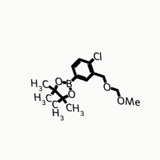 COCOCc1cc(B2OC(C)(C)C(C)(C)O2)ccc1Cl